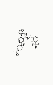 CC(=O)N1CCC(F)(c2cc3/c(=N/[C@H](C)c4cccc(C(F)(F)F)c4C)nc4n(c3cn2)CCO4)CC1